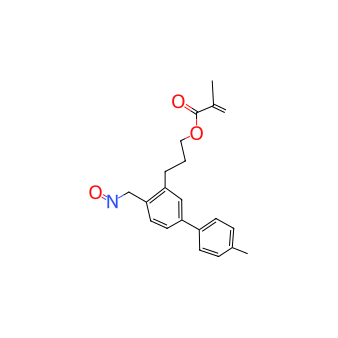 C=C(C)C(=O)OCCCc1cc(-c2ccc(C)cc2)ccc1CN=O